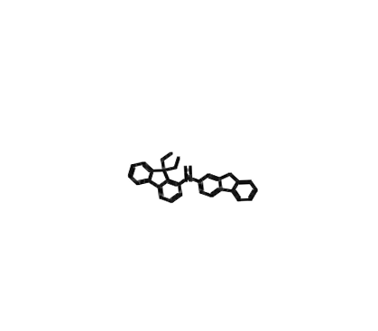 CCC1(CC)c2ccccc2-c2cccc(Nc3ccc4c(c3)Cc3ccccc3-4)c21